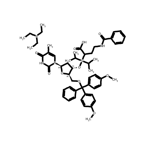 CCN(CC)CC.COc1ccc(C(OC[C@H]2O[C@@H](n3cc(C)c(=O)[nH]c3=O)C[C@@H]2O[Si](C(C)C)(C(C)C)C(CCNC(=O)c2ccccc2)C(=O)O)(c2ccccc2)c2ccc(OC)cc2)cc1